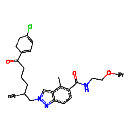 CCCC(CCCC(=O)C1=CC=C(Cl)CC1)Cn1cc2c(C)c(C(=O)NCCOC(C)C)ccc2n1